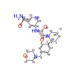 C[C@@H]1CC[C@@H](c2ccc(CN3CCOCC3)cc2)N(C(=O)C(=O)Nc2cncc(C(N)=O)c2)C1